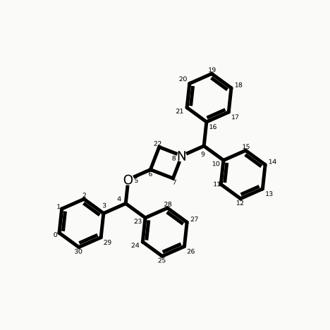 c1ccc(C(OC2CN(C(c3ccccc3)c3ccccc3)C2)c2ccccc2)cc1